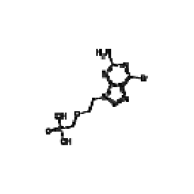 Nc1nc(Br)c2ncn(CCOCP(=O)(O)O)c2n1